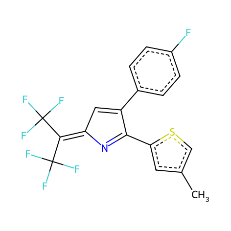 Cc1csc(C2=NC(=C(C(F)(F)F)C(F)(F)F)C=C2c2ccc(F)cc2)c1